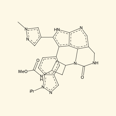 COC(=O)NC1CC(N2C(=O)NCc3cnc4[nH]c(-c5cnn(C)c5)c(-c5ccc6c(cnn6C(C)C)c5)c4c32)C1